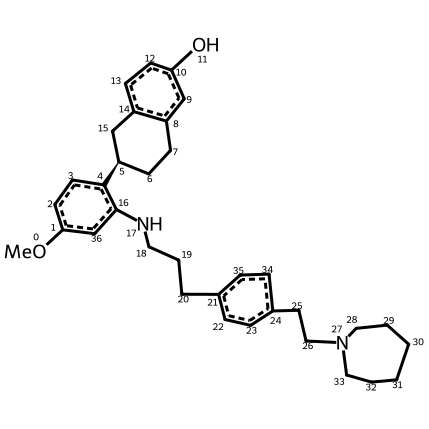 COc1ccc([C@@H]2CCc3cc(O)ccc3C2)c(NCCCc2ccc(CCN3CCCCCC3)cc2)c1